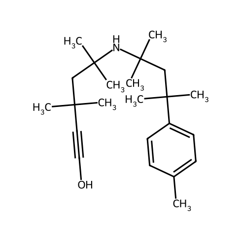 Cc1ccc(C(C)(C)CC(C)(C)NC(C)(C)CC(C)(C)C#CO)cc1